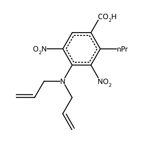 C=CCN(CC=C)c1c([N+](=O)[O-])cc(C(=O)O)c(CCC)c1[N+](=O)[O-]